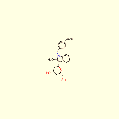 COc1ccc(Cn2c(C)c([C@H]3C[C@@H](O)C[C@@H](CO)O3)c3ccccc32)cc1